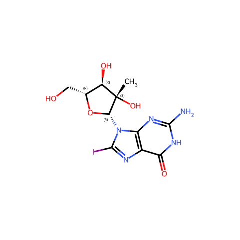 C[C@]1(O)[C@H](O)[C@@H](CO)O[C@H]1n1c(I)nc2c(=O)[nH]c(N)nc21